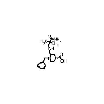 CC(C)(CNCC1CN(C(=O)O)CCN1Cc1ccccc1)C(N)=O